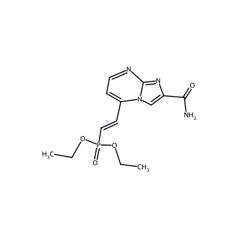 CCOP(=O)(/C=C/c1ccnc2nc(C(N)=O)cn12)OCC